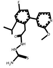 COc1cc(-c2cc(F)cc(C(C)C)c2CC(=O)NNC(N)=S)ccn1